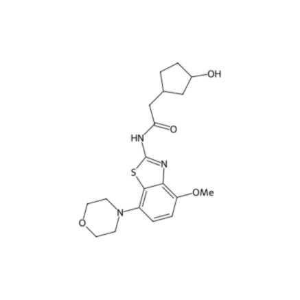 COc1ccc(N2CCOCC2)c2sc(NC(=O)CC3CCC(O)C3)nc12